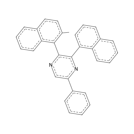 Cc1ccc2ccccc2c1-c1ncc(-c2ccccc2)nc1-c1cccc2ccccc12